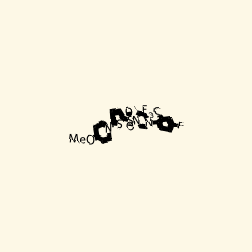 COC1CCN(c2ccc(S(=O)(=O)N3CCN(c4ccc(F)cc4C(F)(F)F)C[C@H]3C)s2)CC1